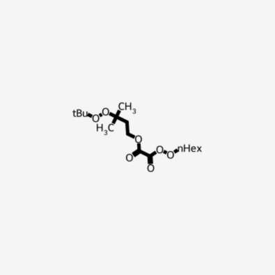 CCCCCCOOC(=O)C(=O)OCCC(C)(C)OOC(C)(C)C